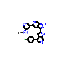 CC(C)Nc1cncc(-c2cc3c(-c4cc5c(-c6ccc(F)cc6)cncc5[nH]4)n[nH]c3cn2)c1